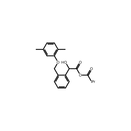 Cc1ccc(C)c(OCc2ccccc2C(O)C(=O)OC(=O)C(C)C)c1